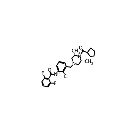 C[C@@H]1CN(Cc2cccc(NC(=O)c3c(F)cccc3F)c2Cl)C[C@H](C)N1C(=O)C1CCCC1